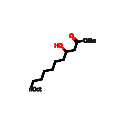 CCCCCCCCCCCCCCC(O)CC(=O)OC